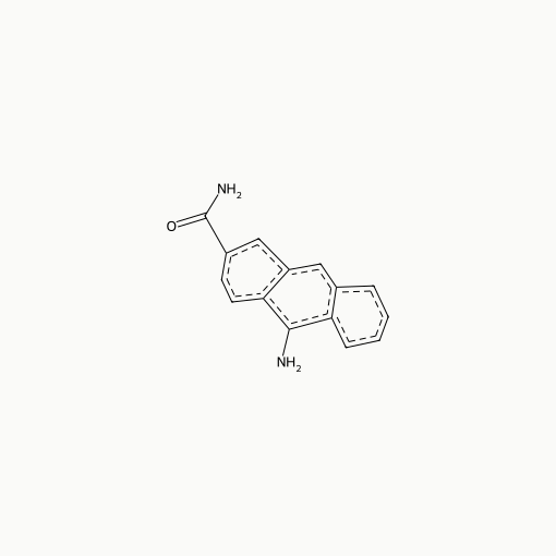 NC(=O)c1ccc2c(N)c3ccccc3cc2c1